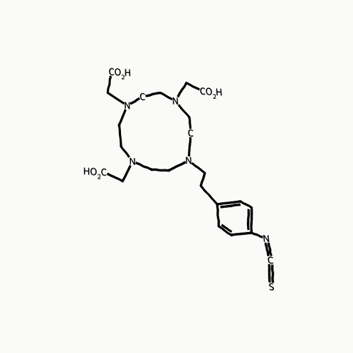 O=C(O)CN1CCN(CCc2ccc(N=C=S)cc2)CCN(CC(=O)O)CCN(CC(=O)O)CC1